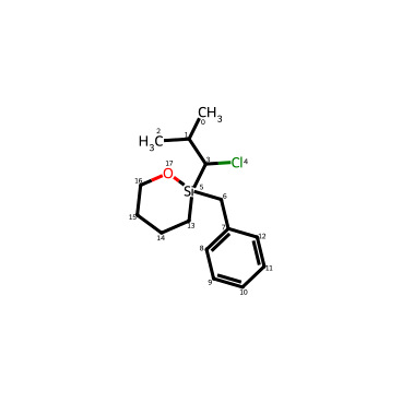 CC(C)C(Cl)[Si]1(Cc2ccccc2)CCCCO1